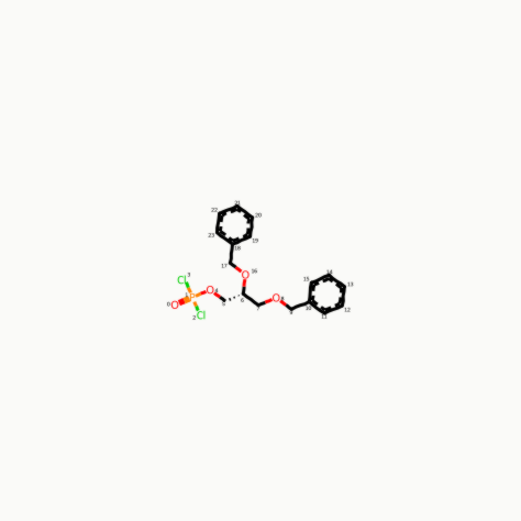 O=P(Cl)(Cl)OC[C@@H](COCc1ccccc1)OCc1ccccc1